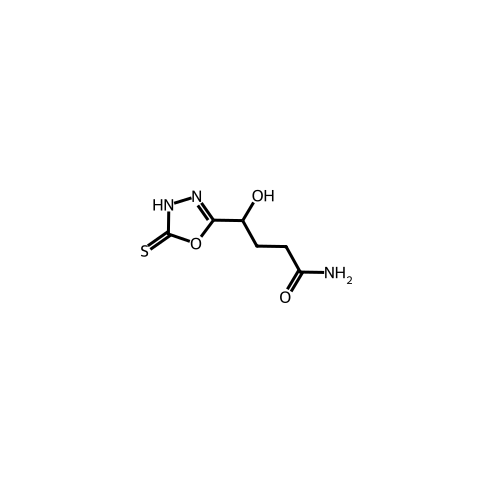 NC(=O)CCC(O)c1n[nH]c(=S)o1